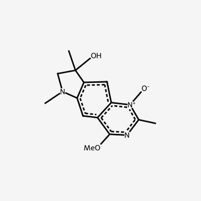 COc1nc(C)[n+]([O-])c2cc3c(cc12)N(C)CC3(C)O